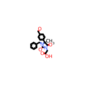 C[C@]1(c2ccc(C=O)cc2)C(=O)N(CC(=O)O)C(=O)N1Cc1ccccc1